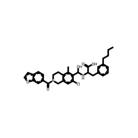 CCCCc1cccc(CC(NC(O)c2c(Cl)cc3c(c2C)CCN(C(=O)c2ccc4ccoc4c2)C3)C(=O)O)c1